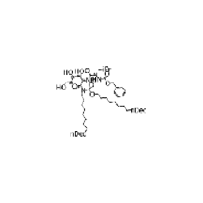 CCCCCCCCCCCCCCCCCCOC(=O)N(CCCCCCCCCCCCCCCCCC)[C@@H]1O[C@H](CO)[C@@H](O)[C@H](O)[C@H]1NC(=O)[C@H](CC(C)C)NC(=O)OCc1ccccc1